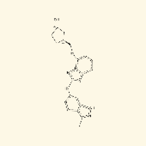 Cc1n[nH]c2cc(Nc3nc4cccc(NC[C@H]5CC[C@H](O)C5)n4n3)ccc12